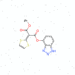 CC(C)OC(=O)C(C(=O)Oc1cccc2[nH]nnc12)=C1SC=CS1